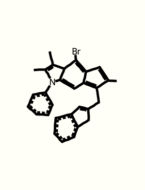 CC1=CC2=C(Br)C3C(=CC2=C1CC1=Cc2ccccc2C1)N(c1ccccc1)C(C)=C3C